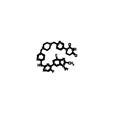 Cc1nc2c(F)cc(-c3nc(Nc4ccc(CN5CCN(Cc6ccc(N7CCC(=O)NC7=O)cn6)CC5)cn4)ncc3F)cc2n1C(C)C